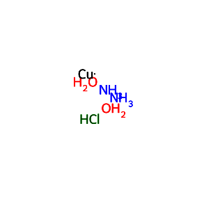 Cl.N.N.O.O.[Cu]